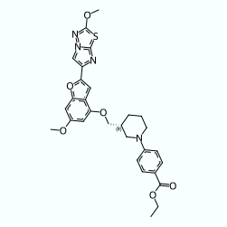 CCOC(=O)c1ccc(N2CCC[C@@H](COc3cc(OC)cc4oc(-c5cn6nc(OC)sc6n5)cc34)C2)cc1